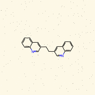 c1ccc2ncc(CCc3cnc4ccccc4c3)cc2c1